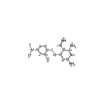 C[S+]([O-])c1ccc(CSc2cc(N)nc(N)c2N=N)c(Cl)c1